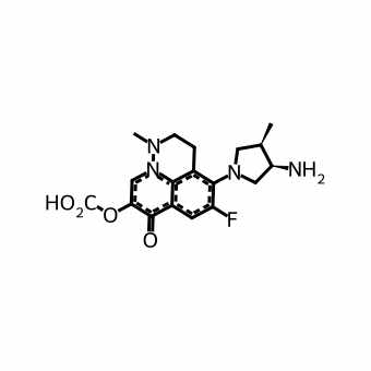 C[C@@H]1CN(c2c(F)cc3c(=O)c(OC(=O)O)cn4c3c2CCN4C)C[C@@H]1N